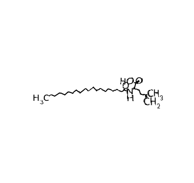 C=C(C)CCC(NC(=O)CCCCCCCCCCCCCCCCCCC)C(=O)O